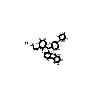 C=C/C=C\C1=C(C)C(N(C2=CC=C(c3ccccc3)C=C=C2)c2cccc3c2sc2ccccc23)=CC=C=C1